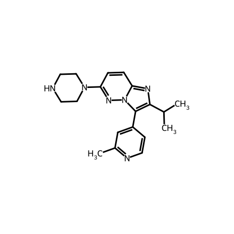 Cc1cc(-c2c(C(C)C)nc3ccc(N4CCNCC4)nn23)ccn1